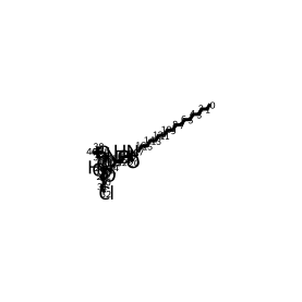 CCCCCCCCCCCCCCCCCCNC(=O)OCC(CNS(=O)(=O)CCCCl)NC(=O)OC(C)(C)C